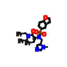 CC(C)C[C@@H](C(=O)N(CC(C)C)CC(C)C)N(Cc1cncn1C)S(=O)(=O)c1ccc2occc2c1